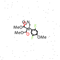 COC(=O)C(C(=O)OC)[C@@H](C[N+](=O)[O-])c1cc(F)c(OC)cc1F